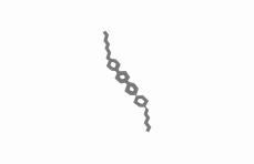 CCCCCCCC1CC=C(c2ccc(-c3ccc([C@H]4CC[C@H](CCCCCC)CC4)cc3)cc2)CC1